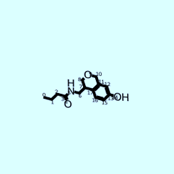 CCCC(=O)NCC1COCc2cc(O)ccc21